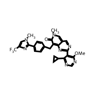 COc1ncnc(C2CC2)c1-c1ncc2cn(C)c(=O)c(Cc3ccc(-c4nc(C(F)(F)F)cn4C)cc3)c2n1